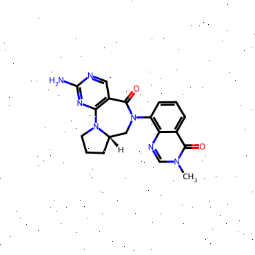 Cn1cnc2c(N3C[C@@H]4CCCN4c4nc(N)ncc4C3=O)cccc2c1=O